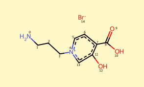 NCCC[n+]1ccc(C(=O)O)c(O)c1.[Br-]